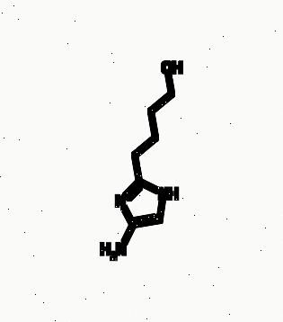 Nc1c[nH]c(CCCCO)n1